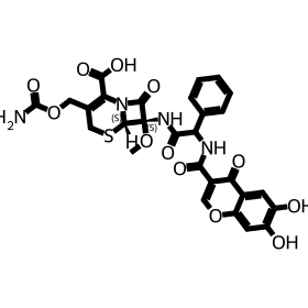 CO[C@@]1(NC(=O)C(NC(=O)c2coc3cc(O)c(O)cc3c2=O)c2ccccc2)C(=O)N2C(C(=O)O)=C(COC(N)=O)CS[C@H]21